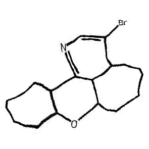 BrC1=CN=C2C3CCCCC3OC3CCCC1C23